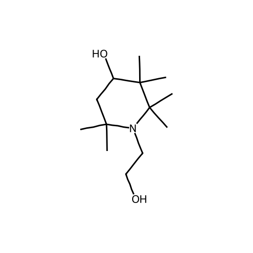 CC1(C)CC(O)C(C)(C)C(C)(C)N1CCO